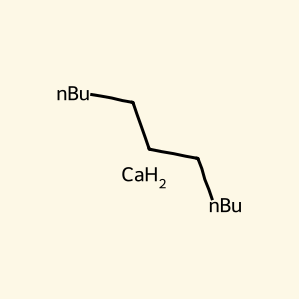 CCCCCCCCCCC.[CaH2]